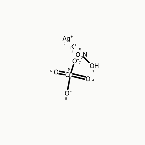 O=[N+]([O-])O.[Ag+].[K+].[O]=[Cr](=[O])([O-])[O-]